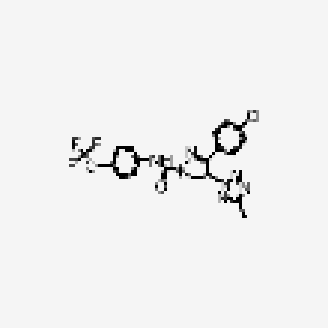 Cc1nnn(C2CN(C(=O)Nc3ccc(OC(F)(F)F)cc3)N=C2c2ccc(Cl)cc2)n1